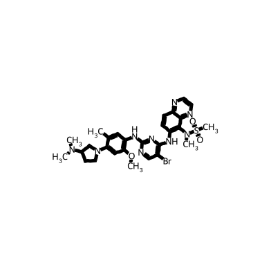 COc1cc(N2CCC(N(C)C)C2)c(C)cc1Nc1ncc(Br)c(Nc2ccc3nccnc3c2N(C)S(C)(=O)=O)n1